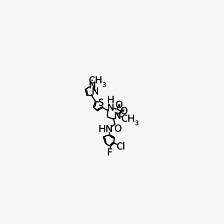 CN1C(C(=O)Nc2ccc(F)c(Cl)c2)CC(c2ccc(-c3ccn(C)n3)s2)NS1(=O)=O